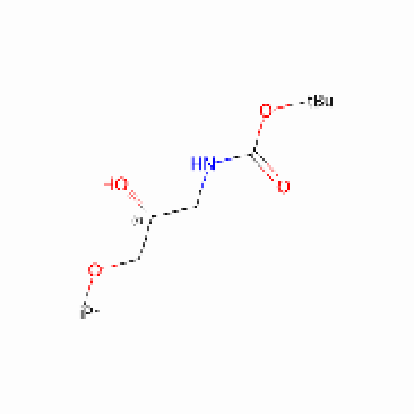 CC(C)OC[C@H](O)CNC(=O)OC(C)(C)C